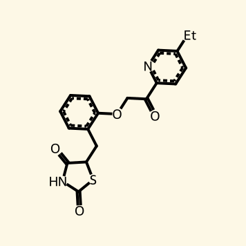 CCc1ccc(C(=O)COc2ccccc2CC2SC(=O)NC2=O)nc1